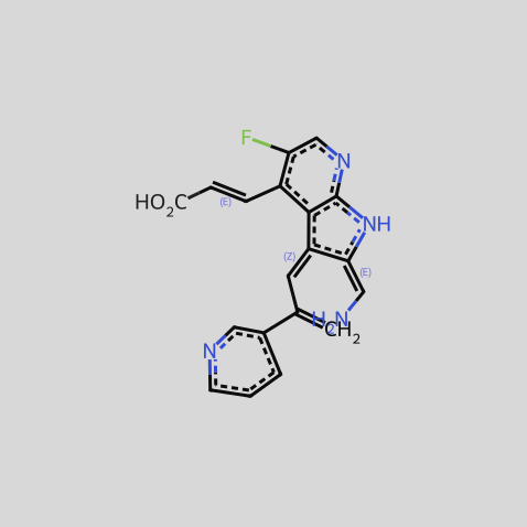 C=C(/C=c1\c(=C/N)[nH]c2ncc(F)c(/C=C/C(=O)O)c12)c1cccnc1